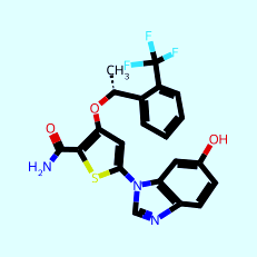 C[C@@H](Oc1cc(-n2cnc3ccc(O)cc32)sc1C(N)=O)c1ccccc1C(F)(F)F